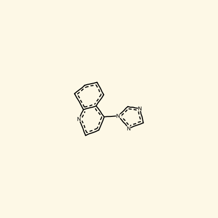 c1ccc2c(-n3cncn3)ccnc2c1